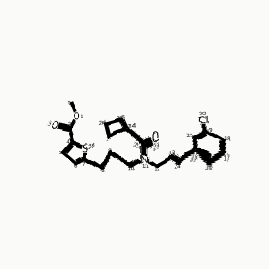 COC(=O)c1ccc(CCCN(CCCc2cccc(Cl)c2)C(=O)C2CCC2)s1